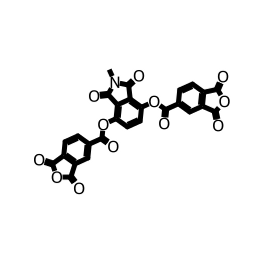 CN1C(=O)c2c(OC(=O)c3ccc4c(c3)C(=O)OC4=O)ccc(OC(=O)c3ccc4c(c3)C(=O)OC4=O)c2C1=O